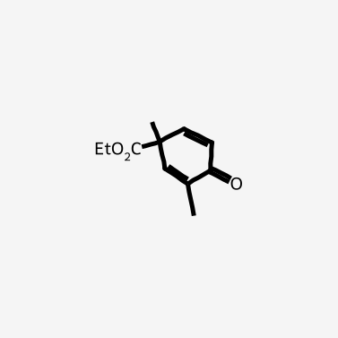 CCOC(=O)C1(C)C=CC(=O)C(C)=C1